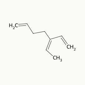 C=CCCC(C=C)=CC